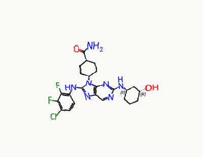 NC(=O)[C@H]1CC[C@@H](n2c(Nc3ccc(Cl)c(F)c3F)nc3cnc(N[C@@H]4CCC[C@@H](O)C4)nc32)CC1